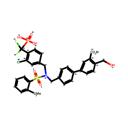 COc1ccccc1S(=O)(=O)N(Cc1ccc(-c2ccc(CO)c(C(=O)O)c2)cc1)Cc1ccc(C(F)(F)P(=O)(O)O)c(Cl)c1